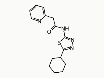 O=C(Cc1ccccn1)Nc1nnc(C2CCCCC2)s1